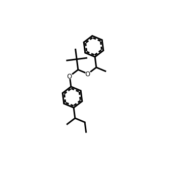 CCC(C)c1ccc(OC(OC(C)c2ccccc2)C(C)(C)C)cc1